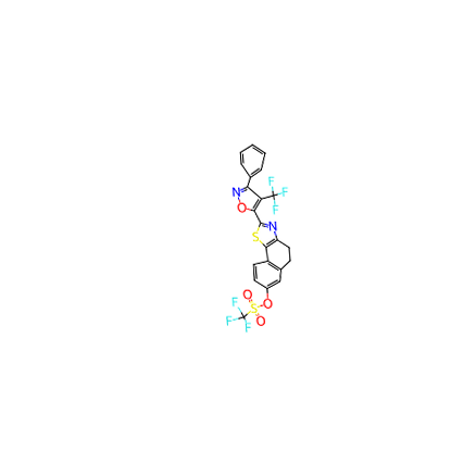 O=S(=O)(Oc1ccc2c(c1)CCc1nc(-c3onc(-c4ccccc4)c3C(F)(F)F)sc1-2)C(F)(F)F